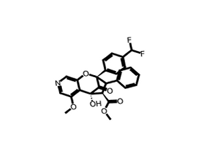 COC(=O)[C@@H]1C(c2ccccc2)[C@@]2(c3ccc(C(F)F)cc3)Oc3cncc(OC)c3[C@@]1(O)C2=O